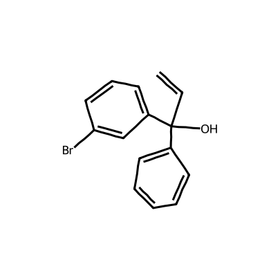 C=CC(O)(c1ccccc1)c1cccc(Br)c1